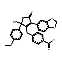 COc1ccc(C2(O)OC(=O)C(c3ccc4c(c3)OCO4)=C2Cc2ccc(C(=O)O)cc2)cc1